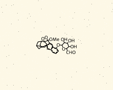 COC1(c2ccc3cccc(OC4OC(C=O)C(O)C(O)C4O)c3c2)OOC12C1CC3CC(C1)CC2C3